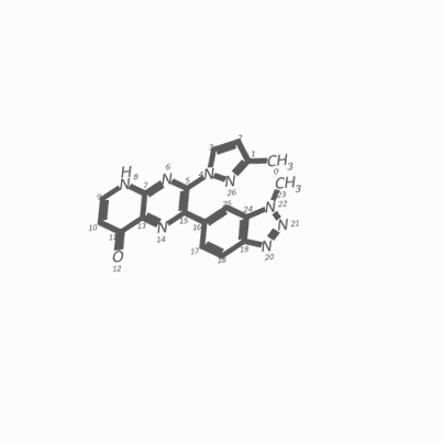 Cc1ccn(-c2nc3[nH]ccc(=O)c3nc2-c2ccc3nnn(C)c3c2)n1